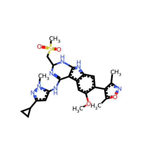 COc1cc2c3c([nH]c2cc1-c1c(C)noc1C)NC(CS(C)(=O)=O)N=C3Nc1cc(C2CC2)nn1C